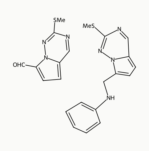 CSc1ncc2ccc(C=O)n2n1.CSc1ncc2ccc(CNc3ccccc3)n2n1